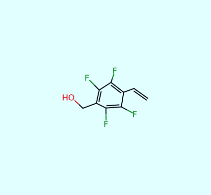 C=Cc1c(F)c(F)c(CO)c(F)c1F